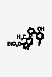 CCOC(=O)c1cnn2ccc(N3CCCC3c3cc(F)ccc3O)c(C)c12